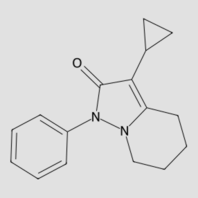 O=c1c(C2CC2)c2n(n1-c1ccccc1)CCCC2